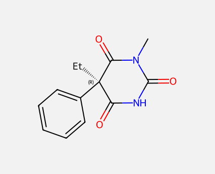 CC[C@@]1(c2ccccc2)C(=O)NC(=O)N(C)C1=O